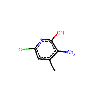 Cc1cc(Cl)nc(O)c1N